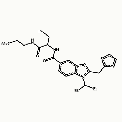 CCC(CC)n1c(Cc2cccs2)nc2cc(C(=O)NC(CC(C)C)C(=O)NCCSC)ccc21